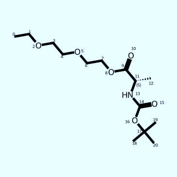 CCOCCOCCOC(=O)[C@H](C)NC(=O)OC(C)(C)C